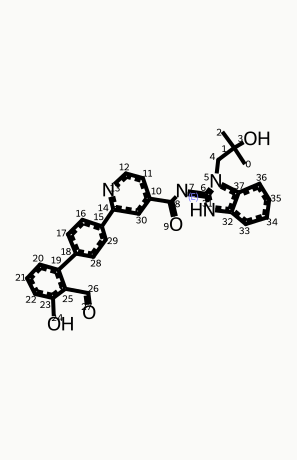 CC(C)(O)Cn1/c(=N/C(=O)c2ccnc(-c3ccc(-c4cccc(O)c4C=O)cc3)c2)[nH]c2ccccc21